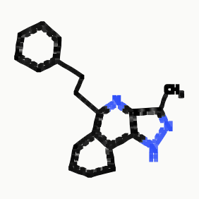 Cc1n[nH]c2c1nc(CCc1ccccc1)c1ccccc12